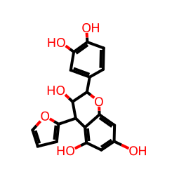 Oc1cc(O)c2c(c1)OC(c1ccc(O)c(O)c1)C(O)C2c1ccco1